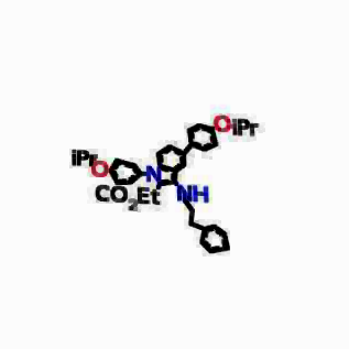 CCOC(=O)c1c(NCCCc2ccccc2)c2cc(-c3ccc(OC(C)C)cc3)ccc2n1-c1ccc(OC(C)C)cc1